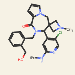 CC(C)Nc1cc(C2N(Cc3ccccc3CO)C(=O)c3cccn3CC23CN(C)C3)c(Cl)cn1